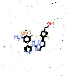 C[C@H]1C[C@@H](c2ccncc2Nc2ncc3ccc(-c4c(F)cc(CCO)cc4F)nn23)C[C@@H](N)[C@H]1S(C)(=O)=O